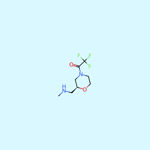 CNC[C@H]1CN(C(=O)C(F)(F)F)CCO1